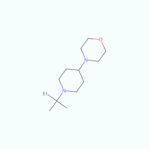 CCC(C)(C)N1CCC(N2CCOCC2)CC1